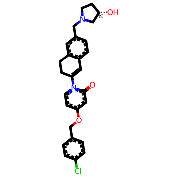 O=c1cc(OCc2ccc(Cl)cc2)ccn1C1=Cc2ccc(CN3CC[C@H](O)C3)cc2CC1